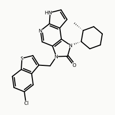 C[C@@H]1CCCC[C@@H]1n1c(=O)n(Cc2csc3ccc(Cl)cc23)c2cnc3[nH]ccc3c21